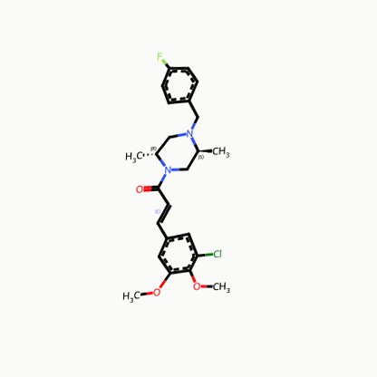 COc1cc(/C=C/C(=O)N2C[C@H](C)N(Cc3ccc(F)cc3)C[C@H]2C)cc(Cl)c1OC